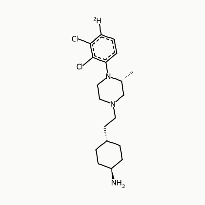 [2H]c1ccc(N2CCN(CC[C@H]3CC[C@H](N)CC3)C[C@H]2C)c(Cl)c1Cl